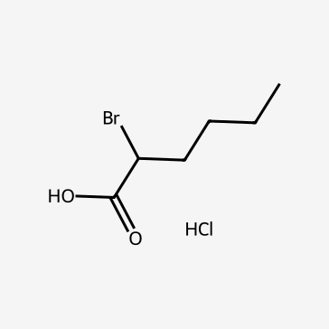 CCCCC(Br)C(=O)O.Cl